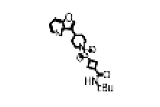 CC(C)(C)NC(=O)C1CC(S(=O)(=O)N2CCC(c3coc4cccnc34)CC2)C1